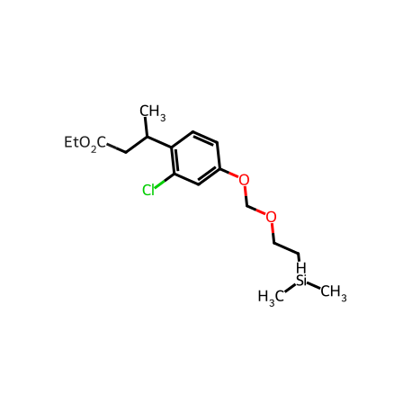 CCOC(=O)CC(C)c1ccc(OCOCC[SiH](C)C)cc1Cl